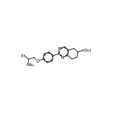 CCCCCCCCC1CCc2nc(-c3ccc(OCC(CC)CCCC)cc3)ncc2C1